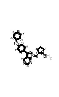 BN1CCC[C@@H]1Cn1nc(-c2ccc(Oc3ccccc3)cc2)c2cncnc21